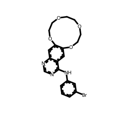 Brc1cccc(Nc2ncnc3cc4c(cc23)OCCOCCOCCO4)c1